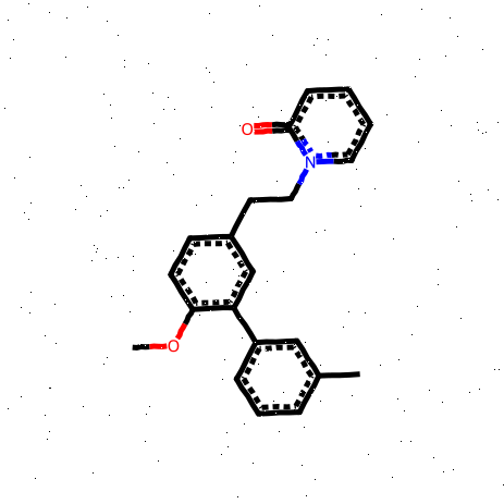 COc1ccc(CCn2ccccc2=O)cc1-c1cccc(C)c1